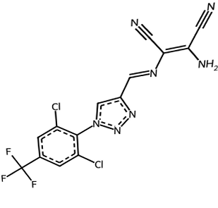 N#CC(N)=C(C#N)N=Cc1cn(-c2c(Cl)cc(C(F)(F)F)cc2Cl)nn1